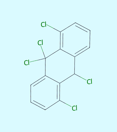 Clc1cccc2c1C(Cl)c1cccc(Cl)c1C2(Cl)Cl